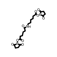 O=C(CCCCC(=O)ON1C(=O)CCC1=O)NCCCCCC(=O)ON1C(=O)CCC1=O